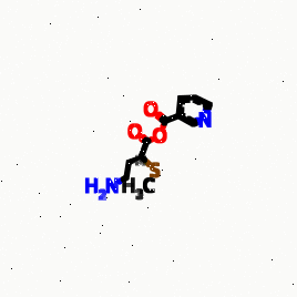 CS[C@@H](CCN)C(=O)OC(=O)c1cccnc1